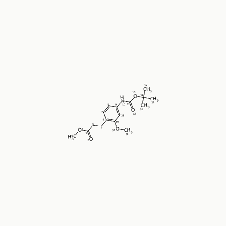 COC(=O)CCc1ccc(NC(=O)OC(C)(C)C)cc1OC